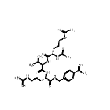 CC(=O)N[C@@H](CCCNC(=N)N)C(=O)NC(C(=O)N[C@@H](CCCNC(=N)N)C(=O)NCc1ccc(C(=N)N)cc1)C(C)C